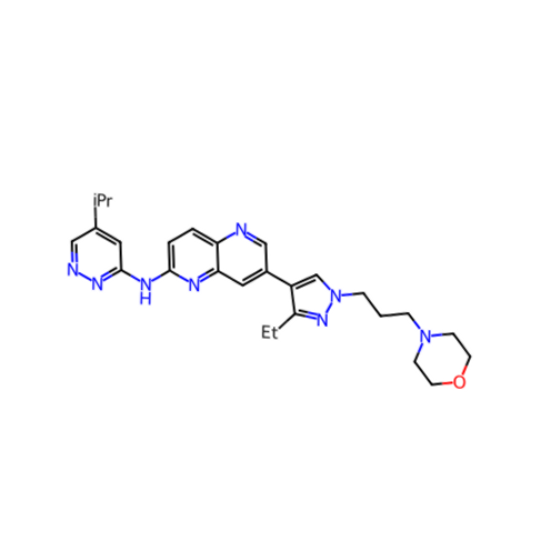 CCc1nn(CCCN2CCOCC2)cc1-c1cnc2ccc(Nc3cc(C(C)C)cnn3)nc2c1